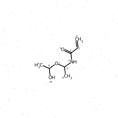 C=CC(=O)NC(C)OC(C)O